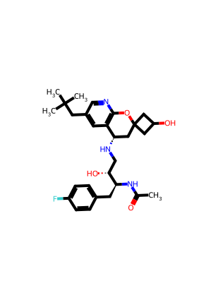 CC(=O)N[C@@H](Cc1ccc(F)cc1)[C@H](O)CN[C@H]1CC2(CC(O)C2)Oc2ncc(CC(C)(C)C)cc21